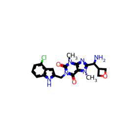 Cn1c(C(N)C2COC2)nc2c1c(=O)n(Cc1cc3c(Cl)cccc3[nH]1)c(=O)n2C